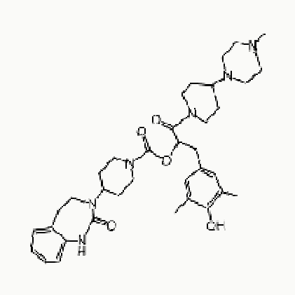 Cc1cc(CC(OC(=O)N2CCC(N3CCc4ccccc4NC3=O)CC2)C(=O)N2CCC(N3CCN(C)CC3)CC2)cc(C)c1O